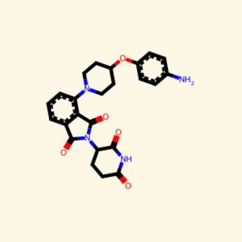 Nc1ccc(OC2CCN(c3cccc4c3C(=O)N(C3CCC(=O)NC3=O)C4=O)CC2)cc1